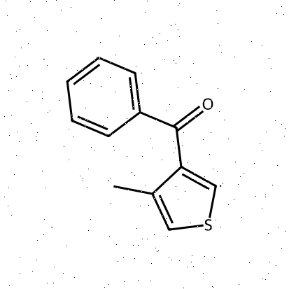 Cc1cs[c]c1C(=O)c1ccccc1